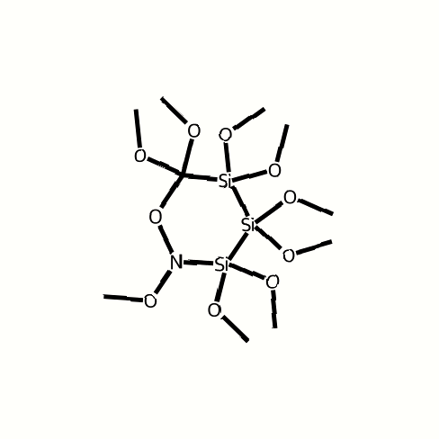 CON1OC(OC)(OC)[Si](OC)(OC)[Si](OC)(OC)[Si]1(OC)OC